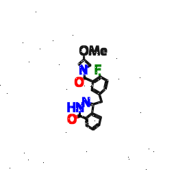 COC1CN(C(=O)c2cc(Cc3n[nH]c(=O)c4ccccc34)ccc2F)C1